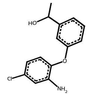 CC(O)c1cccc(Oc2ccc(Cl)cc2N)c1